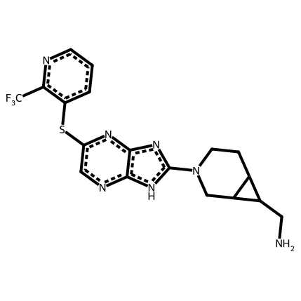 NCC1C2CCN(c3nc4nc(Sc5cccnc5C(F)(F)F)cnc4[nH]3)CC12